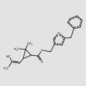 C/C(C#N)=C/C1C(C(=O)OCc2coc(Cc3ccccc3)c2)C1(C)C